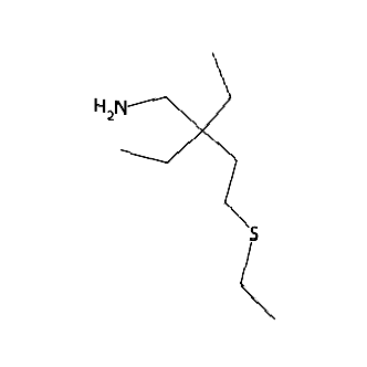 CCSCCC(CC)(CC)CN